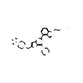 CS(=O)(=O)N1CCN(Cc2cc3nc(-c4cccc5c4cnn5CCC(=O)O)nc(N4CCOCC4)c3s2)CC1